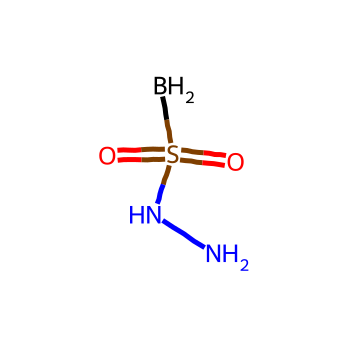 BS(=O)(=O)NN